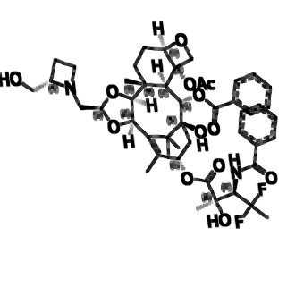 CC(=O)O[C@@]12CO[C@@H]1CC[C@@]1(C)[C@@H]3O[C@H](CN4CC[C@H]4CO)O[C@@H]3C3=C(C)[C@@H](OC(=O)[C@](C)(O)[C@@H](NC(=O)c4ccccc4)C(C)(F)F)C[C@@](O)([C@@H](OC(=O)c4ccccc4)[C@@H]12)C3(C)C